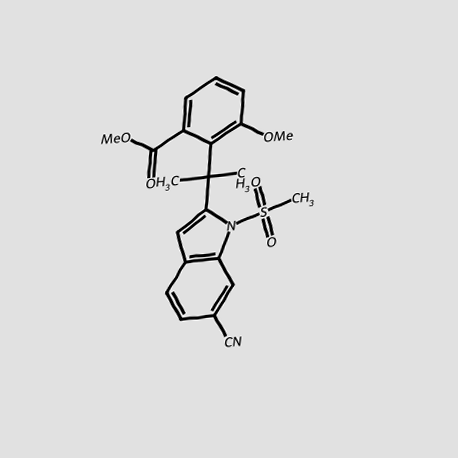 COC(=O)c1cccc(OC)c1C(C)(C)c1cc2ccc(C#N)cc2n1S(C)(=O)=O